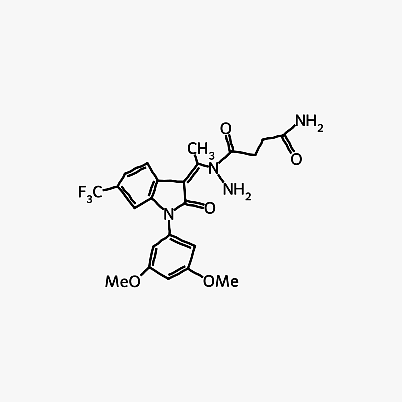 COc1cc(OC)cc(N2C(=O)/C(=C(/C)N(N)C(=O)CCC(N)=O)c3ccc(C(F)(F)F)cc32)c1